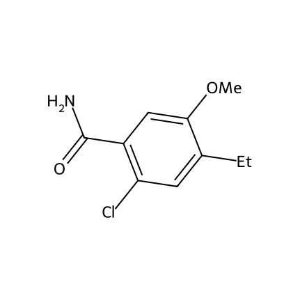 [CH2]Cc1cc(Cl)c(C(N)=O)cc1OC